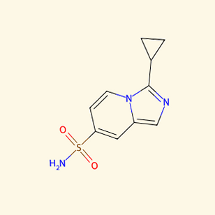 NS(=O)(=O)c1ccn2c(C3CC3)ncc2c1